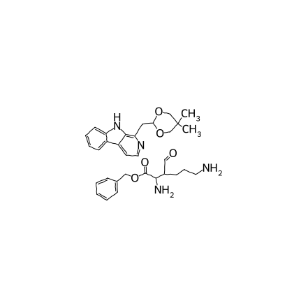 CC1(C)COC(Cc2nccc3c2[nH]c2ccccc23)OC1.NCCCC(C=O)C(N)C(=O)OCc1ccccc1